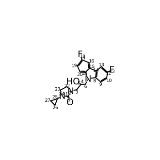 O=C1N(CC(O)Cn2c3ccc(F)cc3c3cc(F)ccc32)CCN1C1CC1